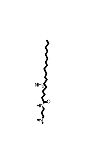 CCCCCCCCCCCCCCCCCC(=O)NCCCN(C)C.N